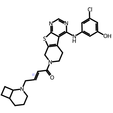 O=C(/C=C/CN1CCCC2CCC21)N1CCc2c(sc3ncnc(Nc4cc(O)cc(Cl)c4)c23)C1